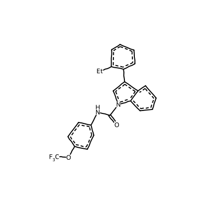 CCc1ccccc1-c1cn(C(=O)Nc2ccc(OC(F)(F)F)cc2)c2ccccc12